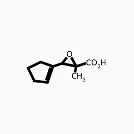 CC1(C(=O)O)OC1C1=CCCC1